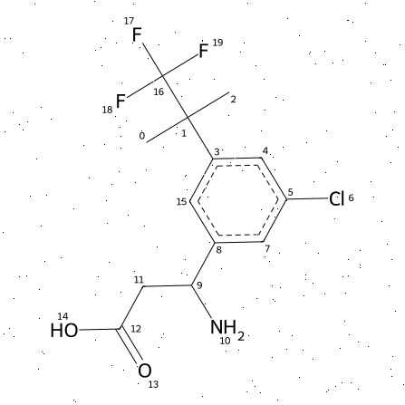 CC(C)(c1cc(Cl)cc(C(N)CC(=O)O)c1)C(F)(F)F